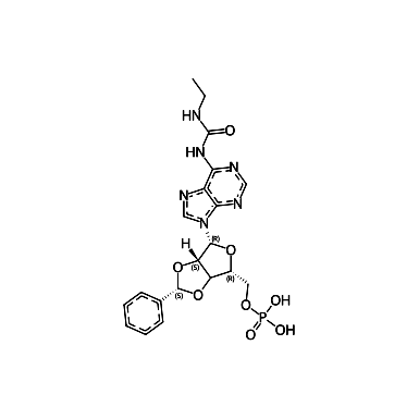 CCNC(=O)Nc1ncnc2c1ncn2[C@@H]1O[C@H](COP(=O)(O)O)C2O[C@H](c3ccccc3)O[C@@H]21